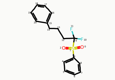 O=S(=O)(c1ccccc1)C(F)(F)CCCc1ccccc1